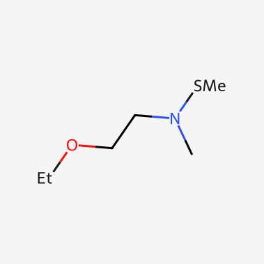 CCOCCN(C)SC